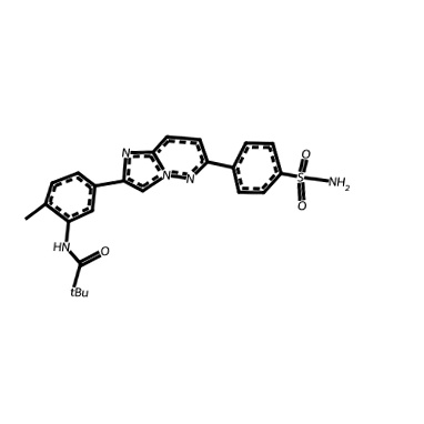 Cc1ccc(-c2cn3nc(-c4ccc(S(N)(=O)=O)cc4)ccc3n2)cc1NC(=O)C(C)(C)C